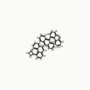 Cc1cccc2c(-c3c4ccccc4c(-c4cccc5sc6ccccc6c45)c4ccccc34)cc3cccc(C4CCC4)c3c12